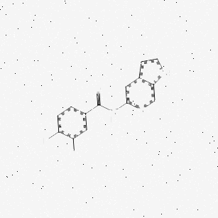 O=C(Nc1cc2cc[nH]c2cn1)c1ccc(F)c(Cl)c1